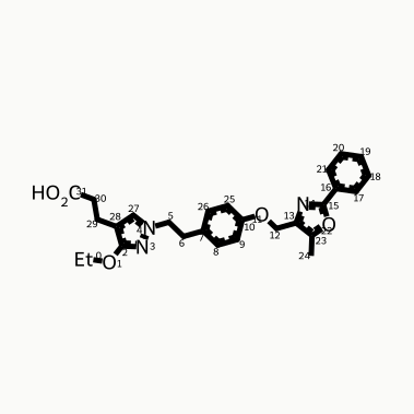 CCOc1nn(CCc2ccc(OCc3nc(-c4ccccc4)oc3C)cc2)cc1CCC(=O)O